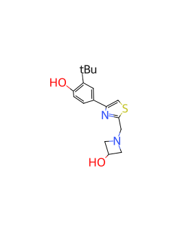 CC(C)(C)c1cc(-c2csc(CN3CC(O)C3)n2)ccc1O